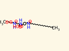 CCCCCCCCCCCCCCCCCCCC(=O)NCC1CCC(C(=O)NC(CCC(=O)NCCOCCOCC)C(=O)O)CC1